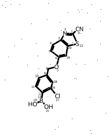 N#Cc1nc2ccc(OCc3ccc(B(O)O)c(Cl)c3)cc2s1